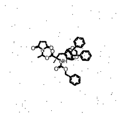 CC(OC(=O)[C@](C)(Cc1cc2c(-c3ccccc3)c(-c3ccccc3)c1OCO2)NC(=O)OCc1ccccc1)N1C(=O)CCC1=O